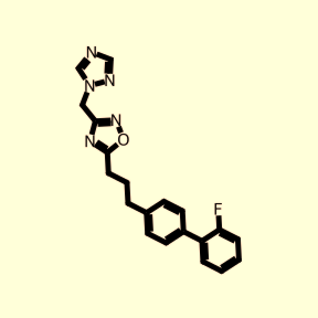 Fc1ccccc1-c1ccc(CCCc2nc(Cn3cncn3)no2)cc1